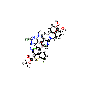 CCN(c1nc(Cl)nc2c(F)c(-c3ccc(F)c4sc(C(=O)OC(C)(C)C)c(C#N)c34)c(Cl)cc12)[C@H](C)c1cccnc1N(Cc1ccc(OC)cc1)Cc1ccc(OC)cc1